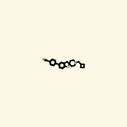 N#Cc1ccc(-c2ccc3c(c2)CC2(CCN(CC4CCC4)CC2)O3)cc1